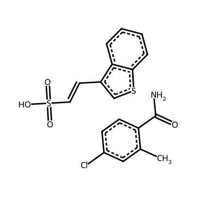 Cc1cc(Cl)ccc1C(N)=O.O=S(=O)(O)/C=C/c1csc2ccccc12